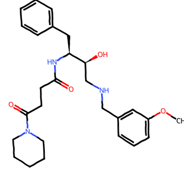 COc1cccc(CNC[C@H](O)[C@H](Cc2ccccc2)NC(=O)CCC(=O)N2CCCCC2)c1